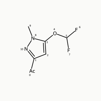 CC(=O)c1cc(OC(F)F)n(C)n1